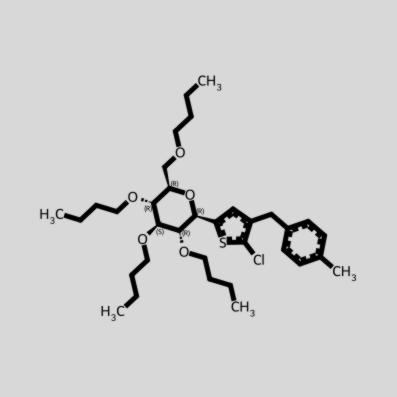 CCCCOC[C@H]1O[C@@H](c2cc(Cc3ccc(C)cc3)c(Cl)s2)[C@H](OCCCC)[C@@H](OCCCC)[C@@H]1OCCCC